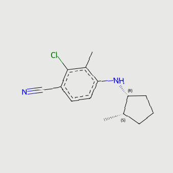 Cc1c(N[C@@H]2CCC[C@@H]2C)ccc(C#N)c1Cl